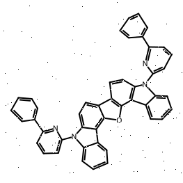 c1ccc(-c2cccc(-n3c4ccccc4c4c5oc6c(ccc7c6c6ccccc6n7-c6cccc(-c7ccccc7)n6)c5ccc43)n2)cc1